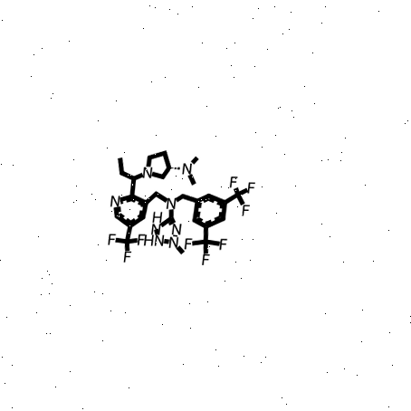 CCC(c1ncc(C(F)(F)F)cc1CN(Cc1cc(C(F)(F)F)cc(C(F)(F)F)c1)C1=NN(C)NN1)N1CC[C@H](N(C)C)C1